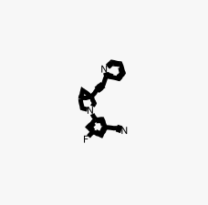 N#Cc1cc(F)cc(N2CC3CC3(C#Cc3ccccn3)C2)c1